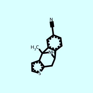 CC12NC(Cc3sccc31)c1ccc(C#N)cc12